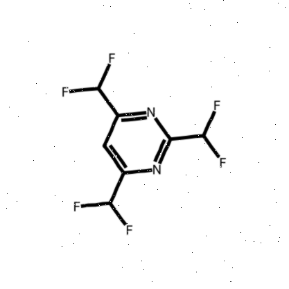 FC(F)c1cc(C(F)F)nc(C(F)F)n1